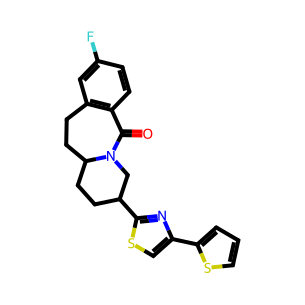 O=C1c2ccc(F)cc2CCC2CCC(c3nc(-c4cccs4)cs3)CN12